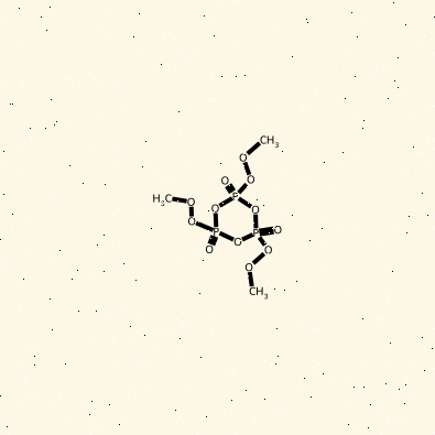 COOP1(=O)OP(=O)(OOC)OP(=O)(OOC)O1